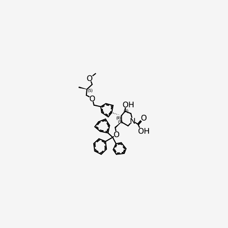 COC[C@H](C)COCc1ccc([C@H]2[C@H](COC(c3ccccc3)(c3ccccc3)c3ccccc3)CN(C(=O)O)C[C@@H]2O)cc1